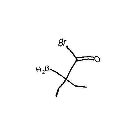 BC(C)(C)C(=O)Br